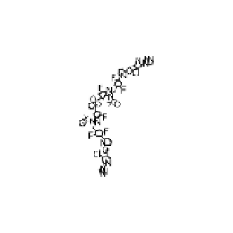 CC1(C)COCC1n1c(Cc2cc(F)c(-c3cccc(OCc4cnc(-n5ccnn5)cc4Cl)n3)cc2F)nc2c(F)cc(C(=O)OC(=O)c3cc(F)c4nc(Cc5cc(F)c(-c6cccc(OCc7cnc(-n8ccnn8)cc7Cl)n6)cc5F)n(C5COCC5(C)C)c4c3)cc21